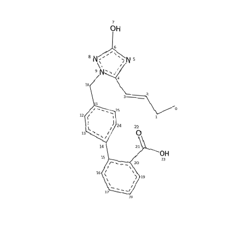 CC/C=C/c1nc(O)nn1Cc1ccc(-c2ccccc2C(=O)O)cc1